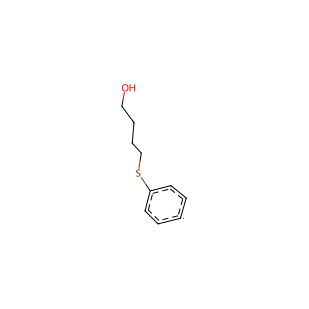 OCCCCSc1cc[c]cc1